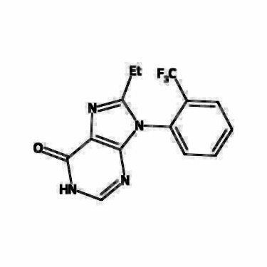 CCc1nc2c(=O)[nH]cnc2n1-c1ccccc1C(F)(F)F